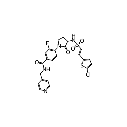 O=C(NCc1ccncc1)c1ccc(N2CCC(NS(=O)(=O)C=Cc3ccc(Cl)s3)C2=O)c(F)c1